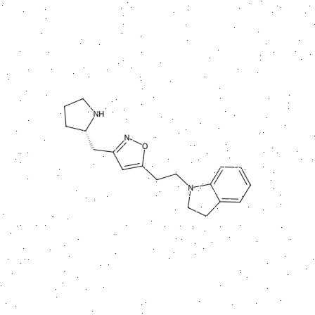 [CH](Cc1cc(C[C@@H]2CCCN2)no1)N1CCc2ccccc21